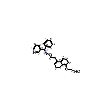 O=CCOC1=C2CCC=C(CCO/N=C(\c3ccccc3)c3cccnc3)C2=CCC1